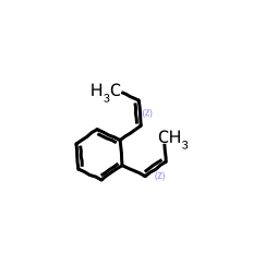 C/C=C\c1ccccc1/C=C\C